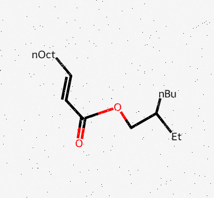 CCCCCCCCC=CC(=O)OCC(CC)CCCC